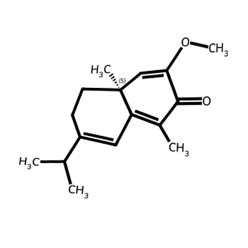 COC1=C[C@]2(C)CCC(C(C)C)=CC2=C(C)C1=O